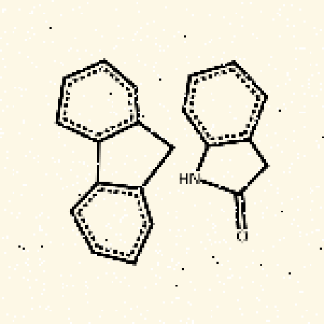 O=C1Cc2ccccc2N1.c1ccc2c(c1)Cc1ccccc1-2